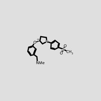 CNCc1cccc(O[C@H]2CCN(c3ccc(S(C)(=O)=O)cc3)C2)c1